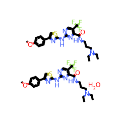 CCN(CC)CCCNC(=O)c1nc(Nc2nc(-c3ccc(OC)cc3)cs2)ncc1C(F)(F)F.CCN(CC)CCCNC(=O)c1nc(Nc2nc(-c3ccc(OC)cc3)cs2)ncc1C(F)(F)F.O